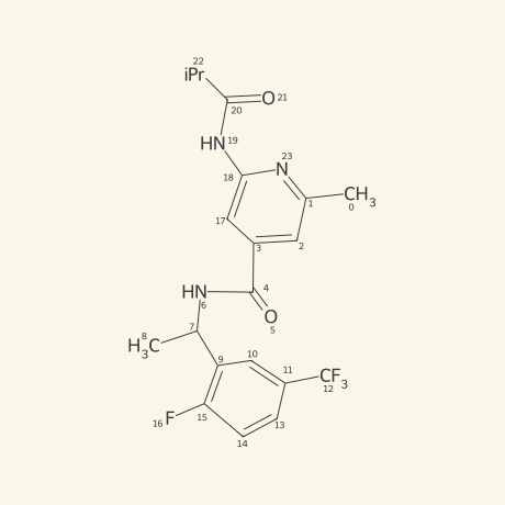 Cc1cc(C(=O)NC(C)c2cc(C(F)(F)F)ccc2F)cc(NC(=O)C(C)C)n1